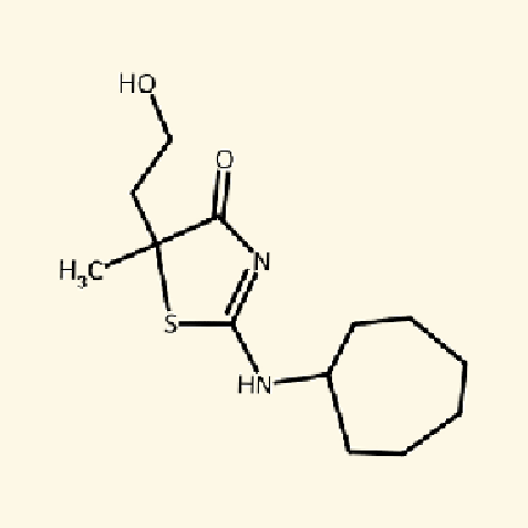 CC1(CCO)SC(NC2CCCCCC2)=NC1=O